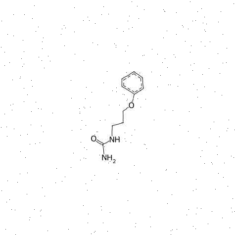 NC(=O)NCCCOc1ccccc1